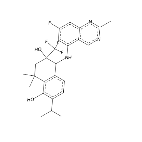 Cc1ncc2c(NC3c4ccc(C(C)C)c(O)c4C(C)(C)CC3(O)C(F)(F)F)cc(F)cc2n1